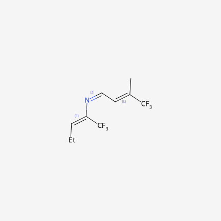 CC/C=C(/N=C\C=C(/C)C(F)(F)F)C(F)(F)F